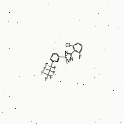 Cn1nc(-c2c(F)cccc2Cl)nc1-c1cccc(C(F)(F)C(F)(F)C(F)(F)F)c1